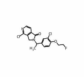 CC(c1ccc(OCCF)c(Cl)c1)N1Cc2c(ccnc2Cl)C1=O